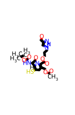 CC(=O)OCC1=C(C(=O)OCCCn2cc(C=O)nn2)N2C(=O)[C@H](NC(=O)OC(C)(C)C)[C@@H]2C(S)C1